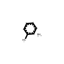 B.Sc1ccccc1